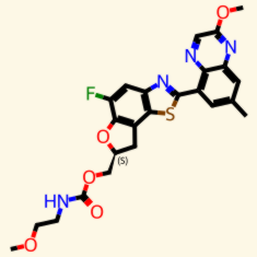 COCCNC(=O)OC[C@@H]1Cc2c(c(F)cc3nc(-c4cc(C)cc5nc(OC)cnc45)sc23)O1